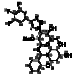 CO[C@@H]1[C@@H](n2cc(-c3cc(F)c(F)c(F)c3)nn2)[C@@H](O)[C@@H](CO)O[C@H]1SC(c1ccccc1C(F)(F)F)N1CCC(O)CC1